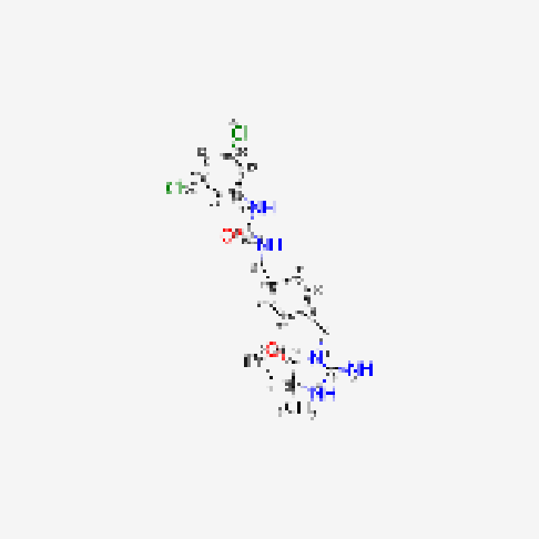 CC(C)CC1(C)NC(=N)N(Cc2ccc(CNC(=O)Nc3cc(Cl)cc(Cl)c3)cc2)C1=O